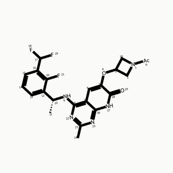 CC(=O)N1CC(Oc2cc3c(N[C@H](C)c4cccc(C(F)F)c4F)nc(C)nc3[nH]c2=O)C1